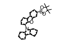 CC1(C)OB(c2ccc3c(c2)oc2c(-n4c5ccccc5c5ccccc54)cccc23)OC1(C)C